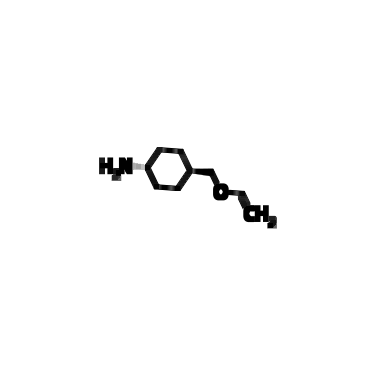 C=COC[C@H]1CC[C@H](N)CC1